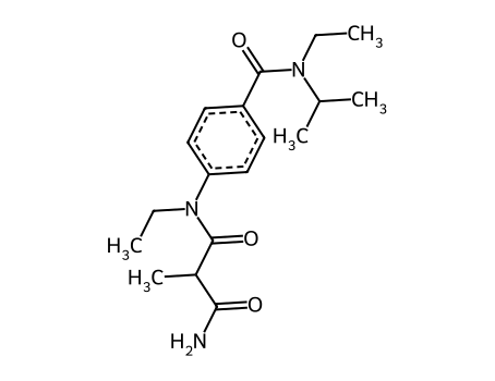 CCN(C(=O)C(C)C(N)=O)c1ccc(C(=O)N(CC)C(C)C)cc1